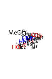 CC[C@](C)(O)CC(=O)N[C@H](C)C(=O)N[C@@H](Cc1ccc(OC)cc1)C(=O)N[C@@H](CC1CCCC1)C(=O)[C@]1(C)CO1